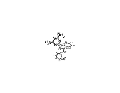 Nc1nc(N)nc(-n2nc(Cc3ccccc3F)c3ccccc32)n1